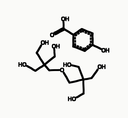 O=C(O)c1ccc(O)cc1.OCC(CO)(CO)COCC(CO)(CO)CO